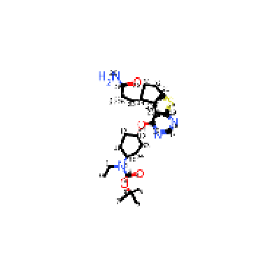 CCN(C(=O)OC(C)(C)C)[C@H]1CC[C@H](Oc2ncnc3sc4c(c23)[C@@H](C[C@H](C)C(N)=O)CC4)CC1